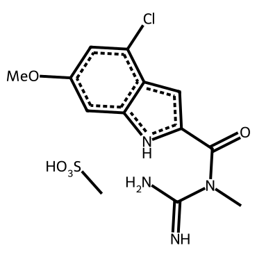 COc1cc(Cl)c2cc(C(=O)N(C)C(=N)N)[nH]c2c1.CS(=O)(=O)O